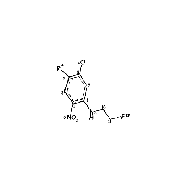 O=[N+]([O-])c1cc(F)c(Cl)cc1NCCF